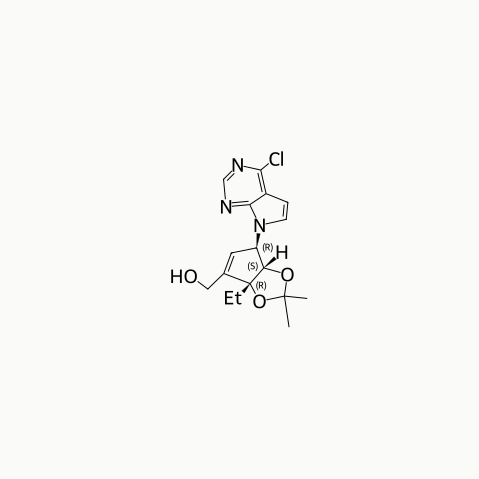 CC[C@]12OC(C)(C)O[C@H]1[C@H](n1ccc3c(Cl)ncnc31)C=C2CO